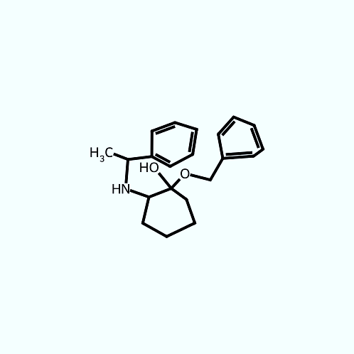 CC(NC1CCCCC1(O)OCc1ccccc1)c1ccccc1